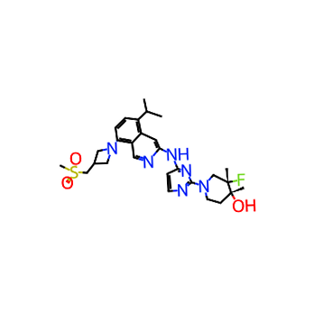 CC(C)c1ccc(N2CC(CS(C)(=O)=O)C2)c2cnc(Nc3ccnc(N4CC[C@@](C)(O)[C@@](C)(F)C4)n3)cc12